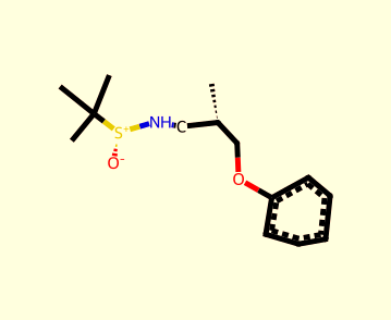 C[C@@H](CN[S@+]([O-])C(C)(C)C)COc1ccccc1